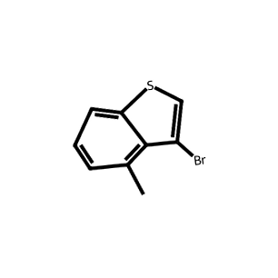 Cc1cccc2scc(Br)c12